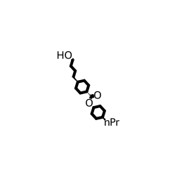 CCC[C@H]1CC[C@H](OC(=O)[C@H]2CC[C@H](CCCCO)CC2)CC1